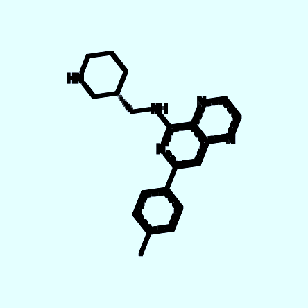 Cc1ccc(-c2cc3nccnc3c(NC[C@H]3CCCNC3)n2)cc1